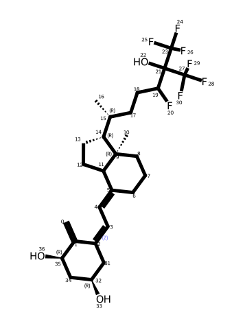 C=C1/C(=C\C=C2CCC[C@@]3(C)C2CC[C@@H]3[C@H](C)CCC(F)C(O)(C(F)(F)F)C(F)(F)F)C[C@@H](O)C[C@H]1O